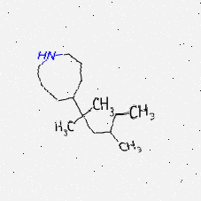 CCC(C)CC(C)(C)C1CCCNCCC1